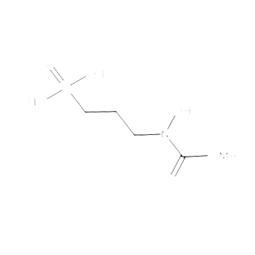 COC(=O)N(O)CCCP(=O)(O)O